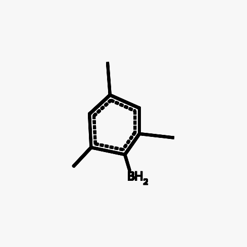 Bc1c(C)cc(C)cc1C